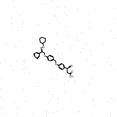 N#CC(CC(=O)O)c1ccc(OCc2ccc(OC/C(=N\OC3CCCCC3)c3ccccc3)cc2)cc1